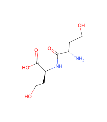 N[C@@H](CCO)C(=O)N[C@@H](CCO)C(=O)O